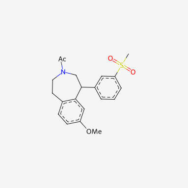 COc1ccc2c(c1)C(c1cccc(S(C)(=O)=O)c1)CN(C(C)=O)CC2